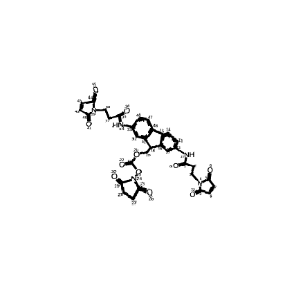 O=C(CCN1C(=O)C=CC1=O)Nc1ccc2c(c1)C(COC(=O)ON1C(=O)CCC1=O)c1cc(NC(=O)CCN3C(=O)C=CC3=O)ccc1-2